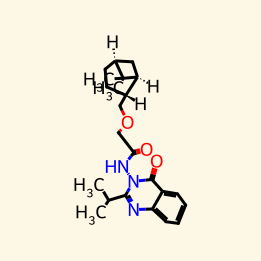 CC(C)c1nc2ccccc2c(=O)n1NC(=O)COC[C@@H]1CC[C@H]2C[C@@H]1C2(C)C